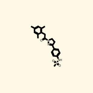 Cc1cc(C)c(CC(=O)N2CCC(c3ccc(NS(C)(=O)=O)cc3)=N2)c(C)c1